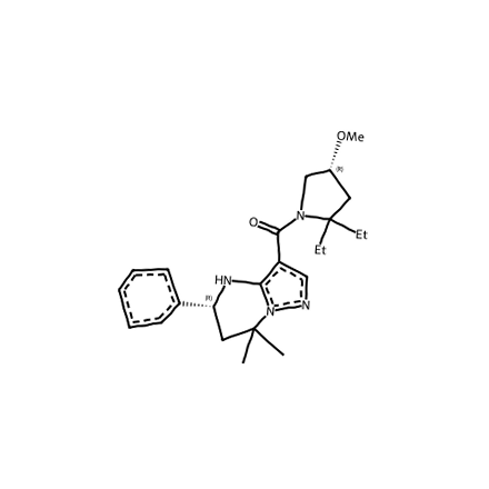 CCC1(CC)C[C@@H](OC)CN1C(=O)c1cnn2c1N[C@@H](c1ccccc1)CC2(C)C